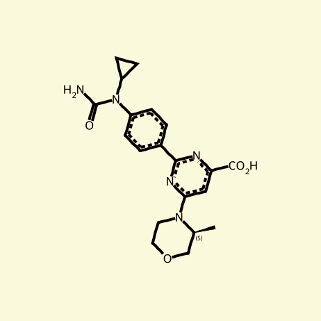 C[C@H]1COCCN1c1cc(C(=O)O)nc(-c2ccc(N(C(N)=O)C3CC3)cc2)n1